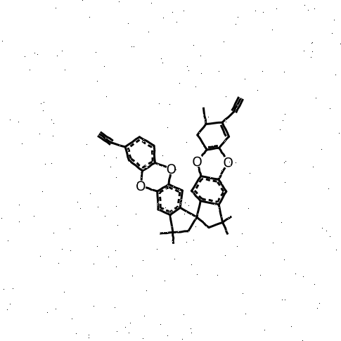 C#CC1=CC2=C(CC1C)Oc1cc3c(cc1O2)C(C)(C)CC31CC(C)(C)c2cc3c(cc21)Oc1ccc(C#C)cc1O3